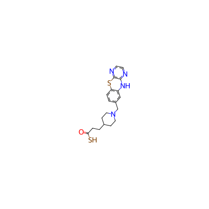 O=C(S)CCC1CCN(Cc2ccc3c(c2)Nc2nccnc2S3)CC1